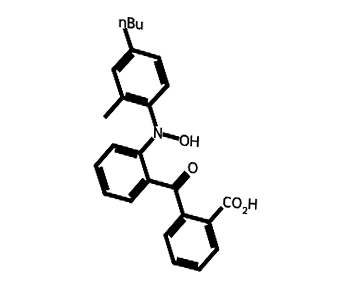 CCCCc1ccc(N(O)c2ccccc2C(=O)c2ccccc2C(=O)O)c(C)c1